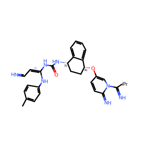 Cc1ccc(N/C(=C\C=N)NC(=O)N[C@H]2CC[C@@H](Oc3ccc(=N)n(C(=N)C(C)C)c3)c3ccccc32)cc1